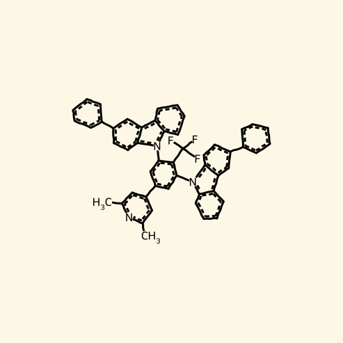 Cc1cc(-c2cc(-n3c4ccccc4c4cc(-c5ccccc5)ccc43)c(C(F)(F)F)c(-n3c4ccccc4c4cc(-c5ccccc5)ccc43)c2)cc(C)n1